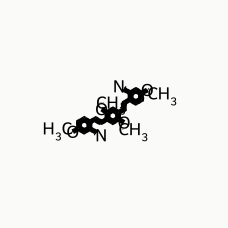 COc1ccc(/C=C/c2cc(OC)c(/C=C/c3ccc(OC)cc3C#N)cc2OC)c(C#N)c1